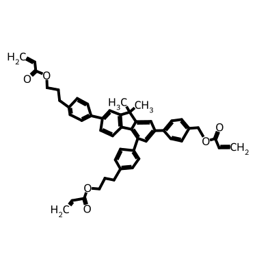 C=CC(=O)OCCCc1ccc(-c2ccc3c(c2)C(C)(C)c2cc(-c4ccc(COC(=O)C=C)cc4)cc(-c4ccc(CCCOC(=O)C=C)cc4)c2-3)cc1